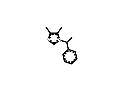 Cc1n[c]n(C(C)c2ccccc2)c1C